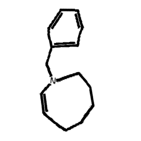 C1=CN(Cc2ccccc2)CCCCC1